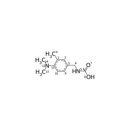 Cc1cc(CNC(=O)O)ccc1N(C)C